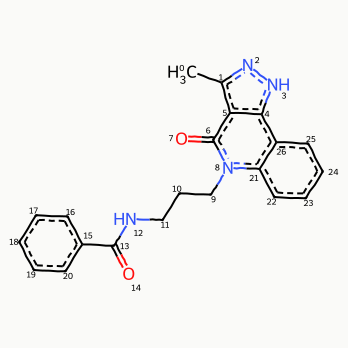 Cc1n[nH]c2c1c(=O)n(CCCNC(=O)c1ccccc1)c1ccccc21